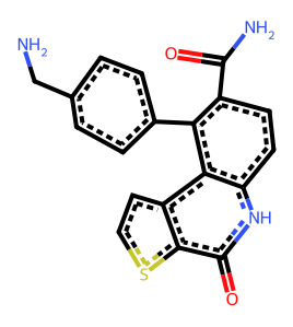 NCc1ccc(-c2c(C(N)=O)ccc3[nH]c(=O)c4sccc4c23)cc1